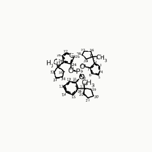 CC1(c2ccccc2OP(Oc2ccccc2C2(C)CCCC2)Oc2ccccc2C2(C)CCCC2)CCCC1